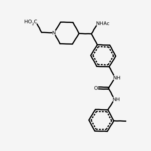 CC(=O)NC(c1ccc(NC(=O)Nc2ccccc2C)cc1)C1CCN(CC(=O)O)CC1